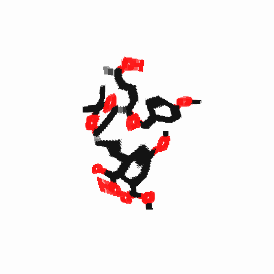 COC(=O)c1cc(OC)cc(/C=C/C[C@@H]2OC(C)(C)O[C@@H]2C(/C=C\C[C@H](C)O)OCc2ccc(OC)cc2)c1C(=O)O